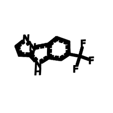 FC(F)(F)c1ccc2c(c1)[nH]c1ccnn12